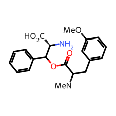 CNC(Cc1cccc(OC)c1)C(=O)OC(c1ccccc1)[C@H](N)C(=O)O